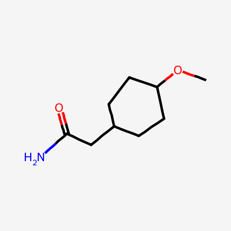 COC1CCC(CC(N)=O)CC1